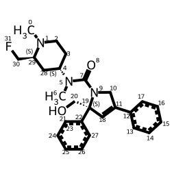 CN1CC[C@H](N(C)C(=O)N2CC(c3ccccc3)=C[C@@]2(CO)c2ccccc2)C[C@H]1CF